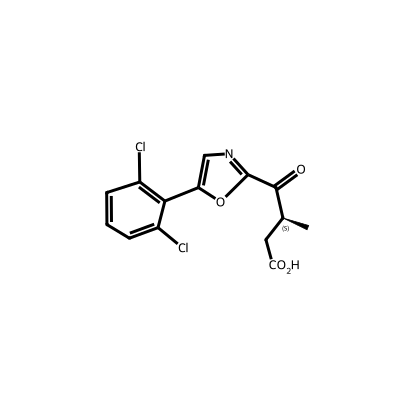 C[C@@H](CC(=O)O)C(=O)c1ncc(-c2c(Cl)cccc2Cl)o1